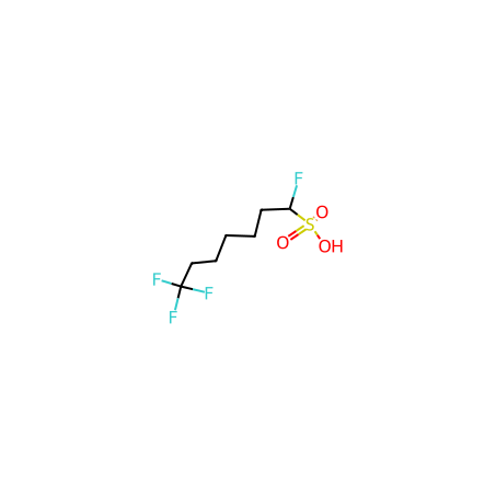 O=S(=O)(O)C(F)CCCCCC(F)(F)F